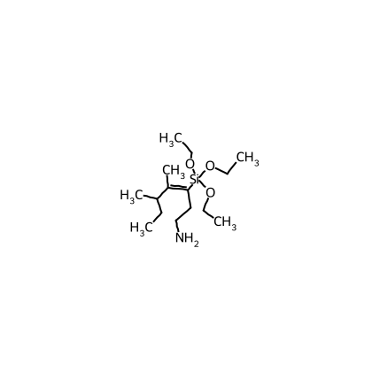 CCO[Si](OCC)(OCC)C(CCN)=C(C)C(C)CC